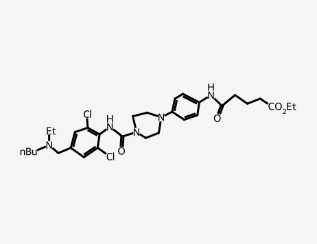 CCCCN(CC)Cc1cc(Cl)c(NC(=O)N2CCN(c3ccc(NC(=O)CCCC(=O)OCC)cc3)CC2)c(Cl)c1